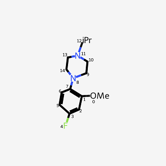 COc1cc(F)ccc1N1CCN(C(C)C)CC1